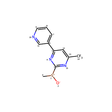 C[S+]([O-])c1nc(-c2cccnc2)cc(C(F)(F)F)n1